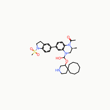 CC(=O)N1c2ccc(-c3ccc4c(c3)CCN4S(C)(=O)=O)cc2N(C(O)OC2CNCCC23CCCCCCC3)C[C@@H]1C